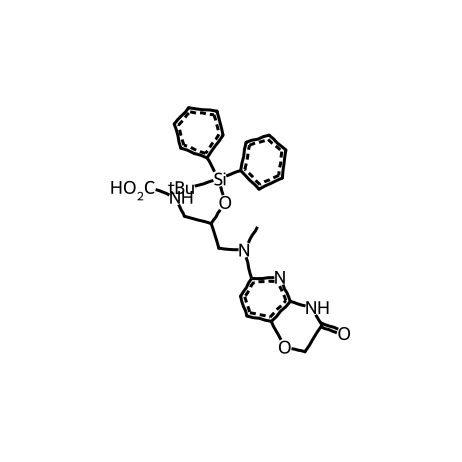 CN(CC(CNC(=O)O)O[Si](c1ccccc1)(c1ccccc1)C(C)(C)C)c1ccc2c(n1)NC(=O)CO2